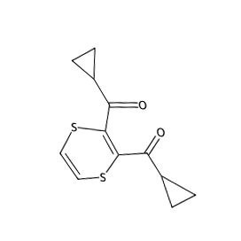 O=C(C1=C(C(=O)C2CC2)SC=CS1)C1CC1